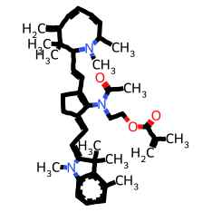 C=C(C)C(=O)OCCN(C(C)=O)C1=C(/C=C/C2N(C)C(C)/C=C\C=C/C(=C)C2(C)C)CC/C1=C\C=C1\N(C)c2cccc(C)c2C1(C)C